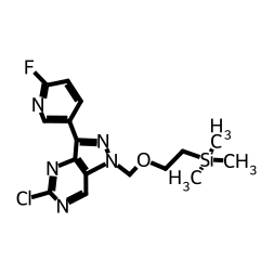 C[Si](C)(C)CCOCn1nc(-c2ccc(F)nc2)c2nc(Cl)ncc21